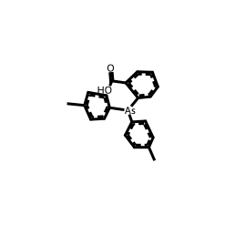 Cc1ccc([As](c2ccc(C)cc2)c2ccccc2C(=O)O)cc1